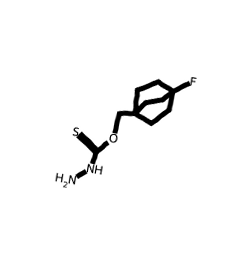 NNC(=S)OCC12CCC(F)(CC1)CC2